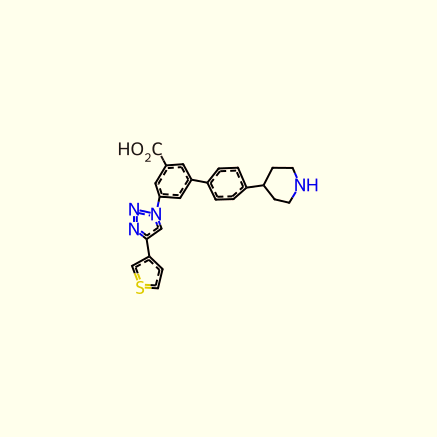 O=C(O)c1cc(-c2ccc(C3CCNCC3)cc2)cc(-n2cc(-c3ccsc3)nn2)c1